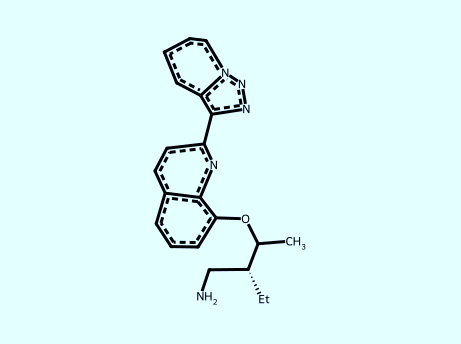 CC[C@H](CN)C(C)Oc1cccc2ccc(-c3nnn4ccccc34)nc12